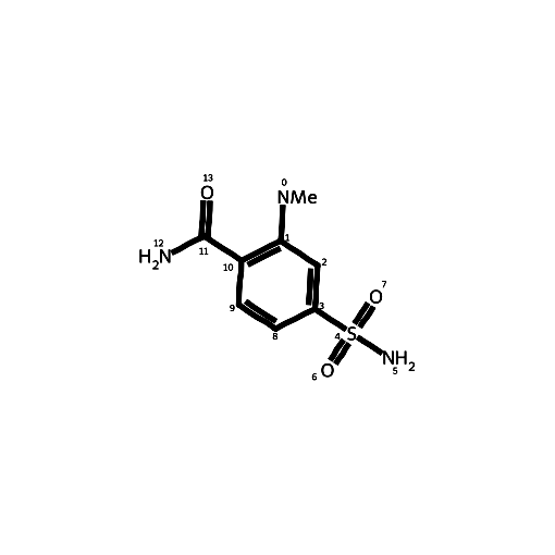 CNc1cc(S(N)(=O)=O)ccc1C(N)=O